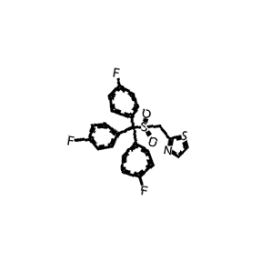 O=S(=O)(Cc1nccs1)C(c1ccc(F)cc1)(c1ccc(F)cc1)c1ccc(F)cc1